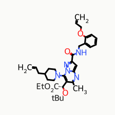 C=CCOc1ccccc1CNC(=O)c1cc2nc(C)c([C@H](OC(C)(C)C)C(=O)OCC)c(N3CCC(CC=C)CC3)n2n1